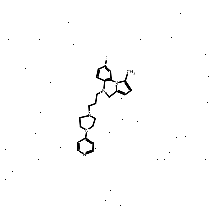 Cc1ccc2n1-c1cc(F)ccc1N(CCCN1CCN(c3ccncc3)CC1)C2